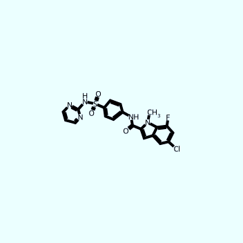 Cn1c(C(=O)Nc2ccc(S(=O)(=O)Nc3ncccn3)cc2)cc2cc(Cl)cc(F)c21